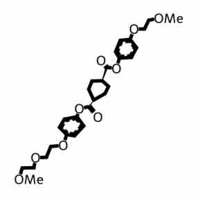 COCCOCCOc1ccc(OC(=O)[C@H]2CC[C@H](C(=O)Oc3ccc(OCCOC)cc3)CC2)cc1